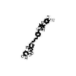 CC1(C)[C@H](NC(=O)c2ccc(CCCCN3CCC4(CC3)CC(=O)N(C3CCC(=O)NC3=O)C4=O)cc2)C(C)(C)[C@H]1Oc1ccc(C#N)c(Cl)c1